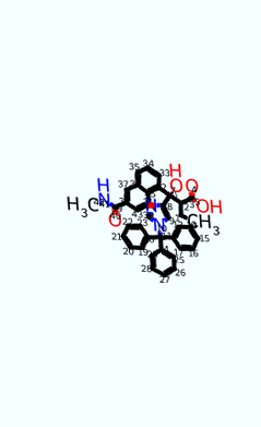 CCC(C(=O)O)[C@@](O)(c1cn(C(c2ccccc2)(c2ccccc2)c2ccccc2)cn1)c1cccc2cc(C(=O)NC)ccc12